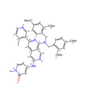 COc1ccc(CN(Cc2ccc(OC)cc2OC)c2nc(-c3cnccc3C)cc3cc(Nc4ccn(C)c(=O)c4)ncc23)c(OC)c1